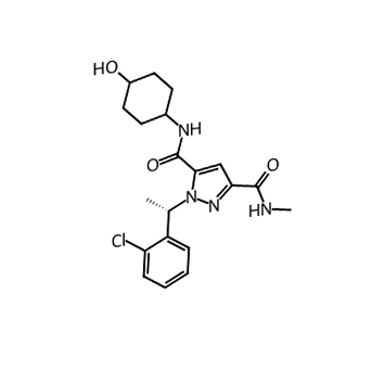 CNC(=O)c1cc(C(=O)NC2CCC(O)CC2)n([C@@H](C)c2ccccc2Cl)n1